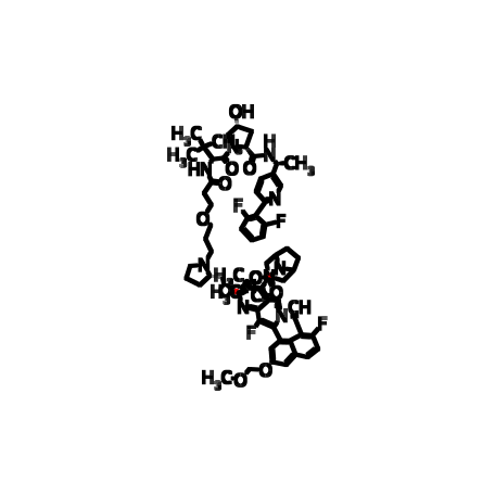 C#Cc1c(F)ccc2cc(OCOC)cc(-c3ncc4c(N5CC6CCC(C5)N6C(=O)OC(C)(C)C)nc(OC[C@@H]5CCCN5CCCOCCC(=O)N[C@H](C(=O)N5C[C@H](O)C[C@H]5C(=O)N[C@@H](C)c5ccc(-c6c(F)cccc6F)nc5)C(C)(C)C)nc4c3F)c12